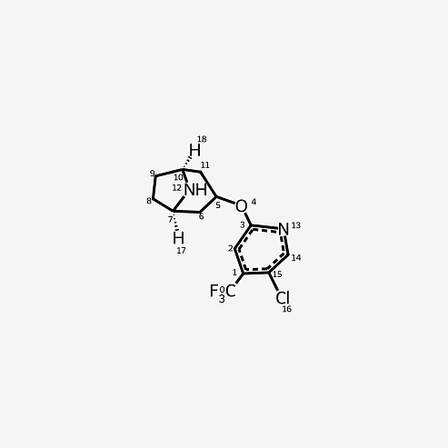 FC(F)(F)c1cc(OC2C[C@H]3CC[C@@H](C2)N3)ncc1Cl